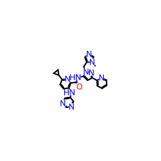 Cn1cncc1Cn1nc(-c2ccccn2)cc1NC(=O)c1nc(C2CC2)ccc1Nc1cncnc1